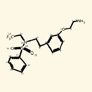 NCCOc1cccc(CCN(CC(F)(F)F)S(=O)(=O)c2ccccc2)c1